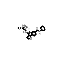 CC(C)(N)CCNc1nc2cc(C(=O)NC3CCCCC3)ccc2c2sccc12